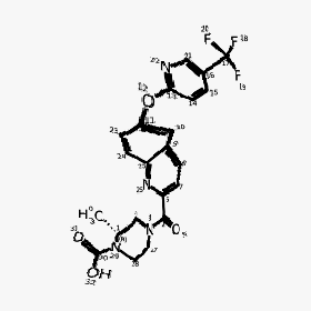 C[C@@H]1CN(C(=O)c2ccc3cc(Oc4ccc(C(F)(F)F)cn4)ccc3n2)CCN1C(=O)O